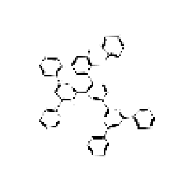 c1ccc(-c2cc(-c3cccnc3)nc(-c3ccc(-c4cccc5c4Oc4ccccc4S5)c(-c4nc(-c5ccccc5)cc(-c5ccccn5)n4)c3)n2)cc1